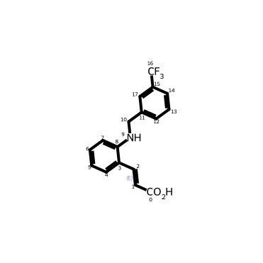 O=C(O)/C=C/c1ccccc1NCc1cccc(C(F)(F)F)c1